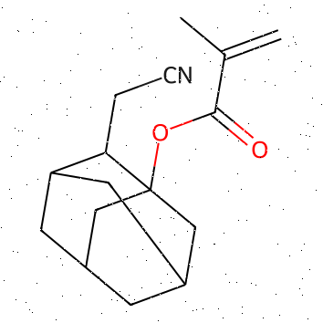 C=C(C)C(=O)OC12CC3CC(CC(C3)C1CC#N)C2